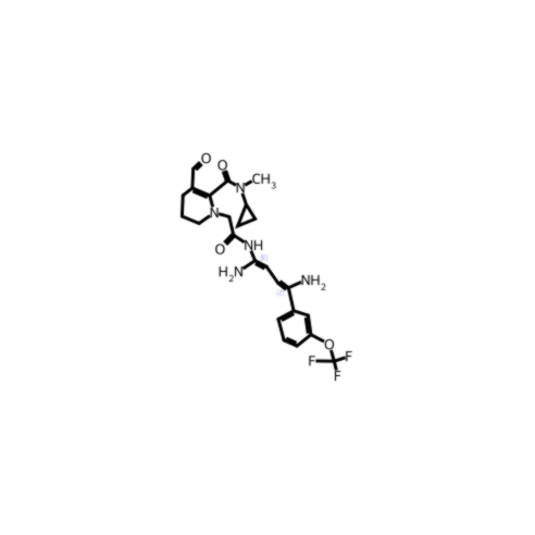 CN(C(=O)C1=C(C=O)CCCN1CC(=O)N/C(N)=C/C=C(\N)c1cccc(OC(F)(F)F)c1)C1CC1